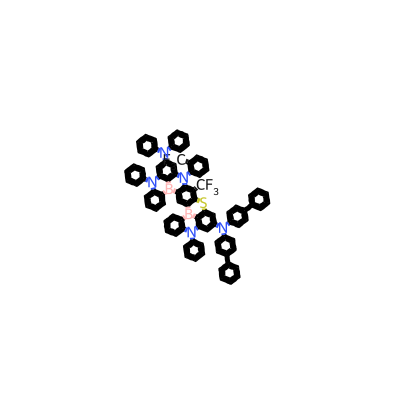 FC(F)(F)c1ccccc1N1c2cc(N(c3ccccc3)c3ccccc3)cc3c2B(c2ccccc2N3c2ccccc2)c2cc3c(c(C(F)(F)F)c21)Sc1cc(N(c2ccc(-c4ccccc4)cc2)c2ccc(-c4ccccc4)cc2)cc2c1B3c1ccccc1N2c1ccccc1